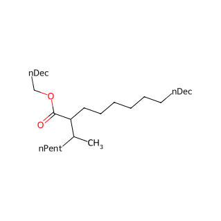 CCCCCCCCCCCCCCCCC(C(=O)OCCCCCCCCCCC)C(C)CCCCC